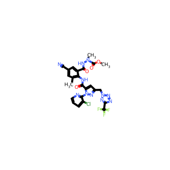 COC(=O)N(C)NC(=O)c1cc(C#N)cc(C)c1NC(=O)c1cc(Cn2nnc(C(F)(F)F)n2)nn1-c1ncccc1Cl